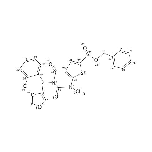 Cn1c(=O)n(C(C2=COCO2)c2ccccc2Cl)c(=O)c2cc(C(=O)OCc3ccccc3)sc21